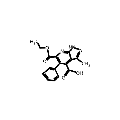 CCOC(=O)c1nc2[nH]nc(C)c2c(C(=O)O)c1-c1ccccc1